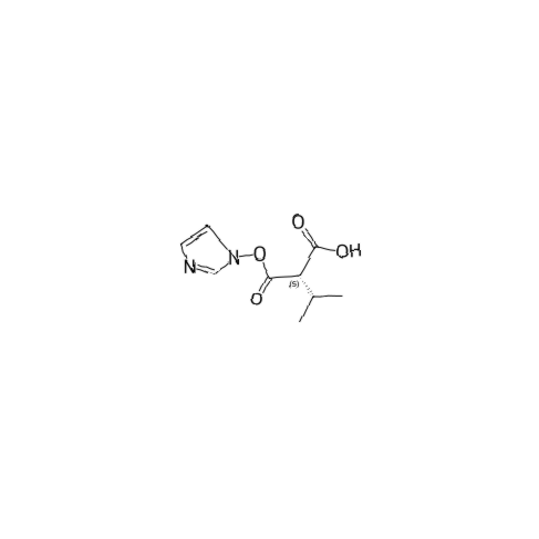 CC(C)[C@@H](C(=O)O)C(=O)On1ccnc1